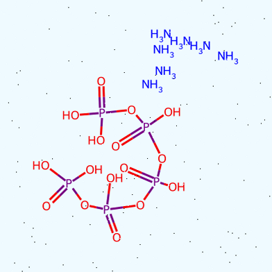 N.N.N.N.N.N.N.O=P(O)(O)OP(=O)(O)OP(=O)(O)OP(=O)(O)OP(=O)(O)O